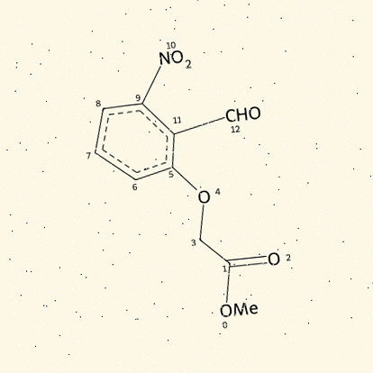 COC(=O)COc1cccc([N+](=O)[O-])c1C=O